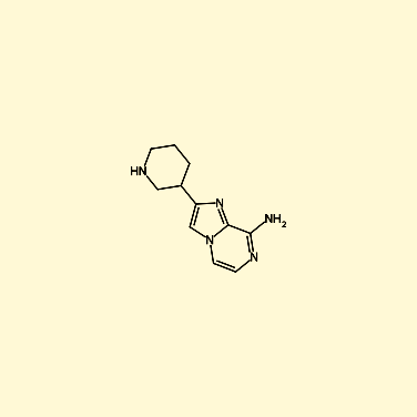 Nc1nccn2cc(C3CCCNC3)nc12